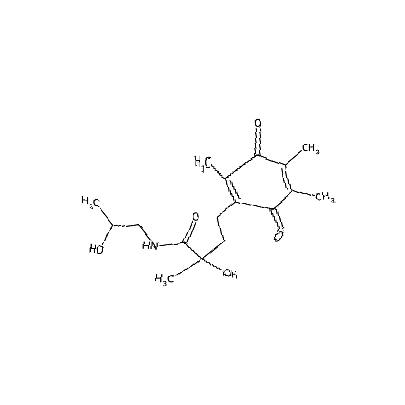 CC1=C(C)C(=O)C(CCC(C)(O)C(=O)NCC(C)O)=C(C)C1=O